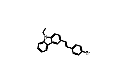 CCn1c2ccccc2c2cc(C=Cc3ccc(Br)cc3)ccc21